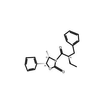 CC[C@H](Cc1ccccc1)C(=O)N1C(=O)O[C@H](c2ccccc2)[C@@H]1C